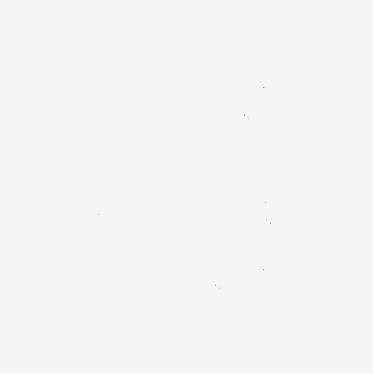 COC1(c2cc3c(C[C@H](C)c4cccc(C(F)(F)F)c4F)ncnc3n(C)c2=O)CCN(C(C)=O)CC1